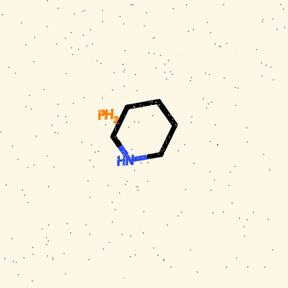 C1CCNCC1.P